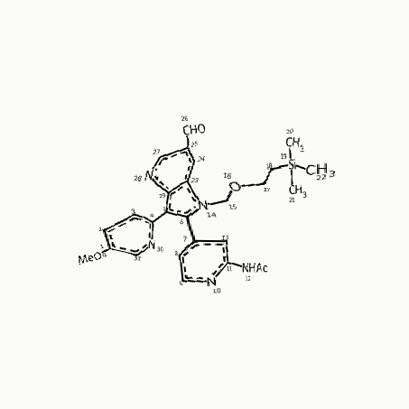 COc1ccc(-c2c(-c3ccnc(NC(C)=O)c3)n(COCC[Si](C)(C)C)c3cc(C=O)cnc23)nc1